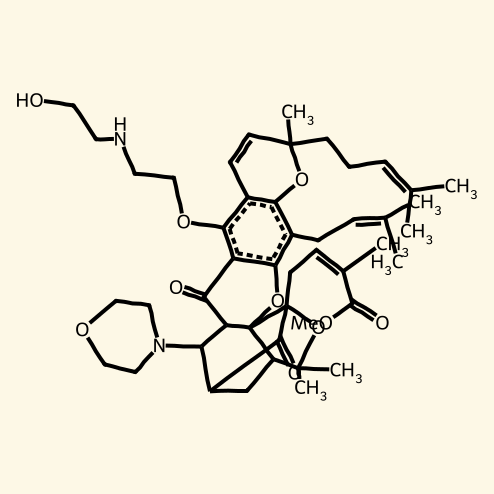 COC(=O)/C(C)=C\CC12OC(C)(C)C3CC(C1=O)C(N1CCOCC1)C1C(=O)c4c(OCCNCCO)c5c(c(CC=C(C)C)c4OC132)OC(C)(CCC=C(C)C)C=C5